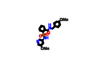 COc1ccc(CNC(=O)c2ccccc2S(=O)(=O)Nc2cncc(OC)c2)cc1